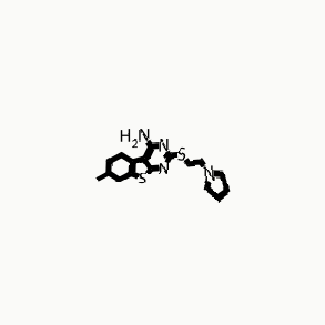 CC1CCc2c(sc3nc(SCCN4CCCC4)nc(N)c23)C1